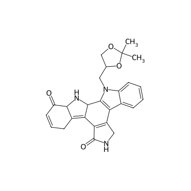 CC1(C)OCC(Cn2c3c(c4ccccc42)C2=C(C(=O)NC2)C2=C4CC=CC(=O)C4NC23)O1